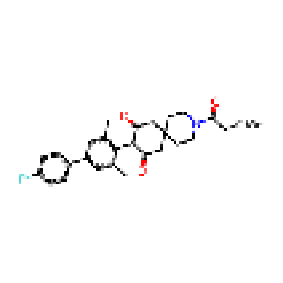 COCC(=O)N1CCC2(CC1)CC(=O)C(c1c(C)cc(-c3ccc(F)cc3)cc1C)C(=O)C2